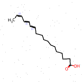 C\C=C/C=C/C=C/CCCCCCCCCCC(=O)O